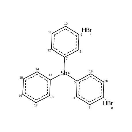 Br.Br.c1cc[c]([Sb]([c]2ccccc2)[c]2ccccc2)cc1